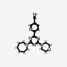 N#Cc1ccc(-c2nc(N3CCCCCC3)nc(N3CCOCC3)n2)nc1